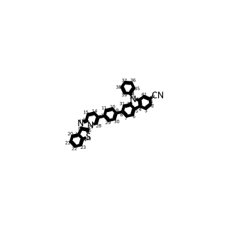 N#Cc1ccc2c3ccc(-c4ccc(-c5ccc6nc7c8ccccc8sc7n6c5)cc4)cc3n(-c3ccccc3)c2c1